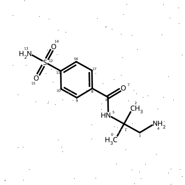 CC(C)(CN)NC(=O)c1ccc(S(N)(=O)=O)cc1